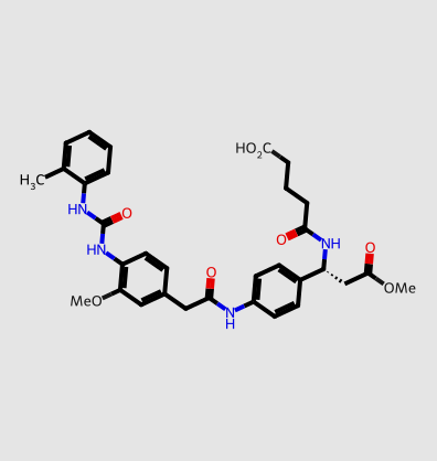 COC(=O)C[C@@H](NC(=O)CCCC(=O)O)c1ccc(NC(=O)Cc2ccc(NC(=O)Nc3ccccc3C)c(OC)c2)cc1